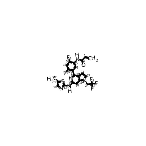 C=CC(=O)Nc1cc(-c2nc(Nc3ncc(C)s3)cc3c2ccn3CC(F)(F)F)c(F)cc1F